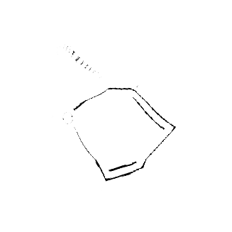 C[C@@H]1C=CC=CO1